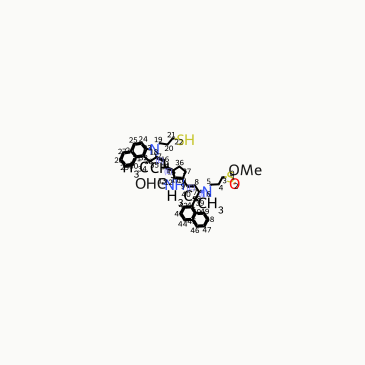 COS(=O)CCC/N=C(\C=C\C1=C(NC=O)C(=C/C=C2/N(CCCS)c3ccc4ccccc4c3C2(C)C)/CC1)C(C)(C)c1cccc2ccccc12